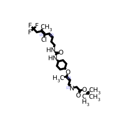 C/C(CC(F)(F)F)=C(Cl)\C=C/CCNC(=O)NC1CCC(O/C(C)=C/C=N\CC(=O)OC(C)(C)C)CC1